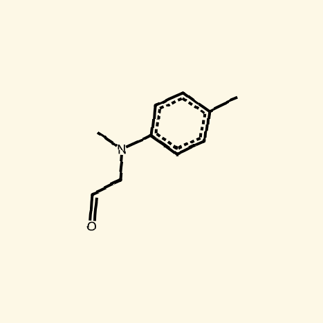 Cc1ccc(N(C)CC=O)cc1